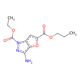 CCCOC(=O)c1cc2c(o1)c(N)nn2C(=O)OCC